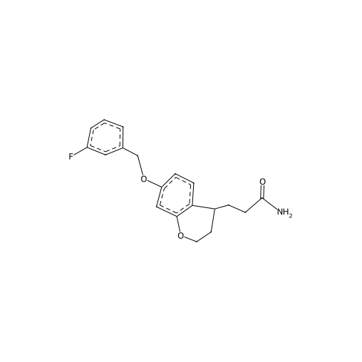 NC(=O)CCC1CCOc2cc(OCc3cccc(F)c3)ccc21